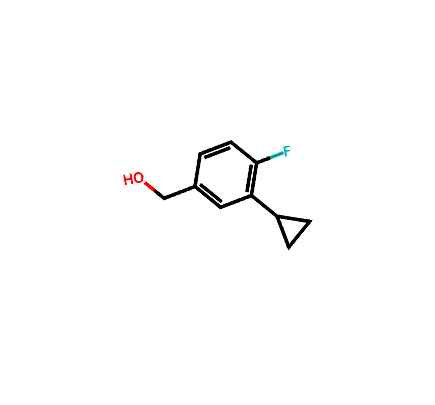 OCc1ccc(F)c(C2CC2)c1